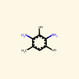 CCCc1cc(C)c(N)c(CCC)c1N